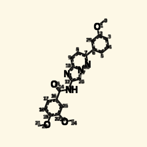 COc1cccc(-c2ccc3nc(NC(=O)c4ccc(OC)c(OC)c4)cn3n2)c1